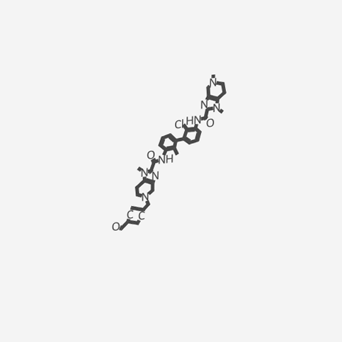 Cc1c(NC(=O)c2nc3c(n2C)CCN(CC2CCC(C=O)CC2)C3)cccc1-c1cccc(NC(=O)c2nc3c(n2C)CCN(C)C3)c1Cl